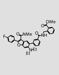 CCN(CC)c1cc2oc(-c3ccc(F)cc3)c(C(=O)NC)c2cc1-c1cccc(C(=O)NCc2ccccc2C(=O)OC)c1